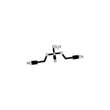 C#CCOP(=O)(OCC#C)C(=O)O